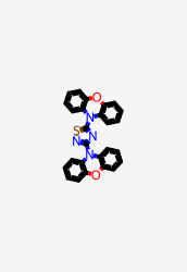 c1ccc2c(c1)Oc1ccccc1N2c1nsc(N2c3ccccc3Oc3ccccc32)n1